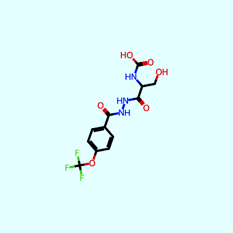 O=C(O)NC(CO)C(=O)NNC(=O)c1ccc(OC(F)(F)F)cc1